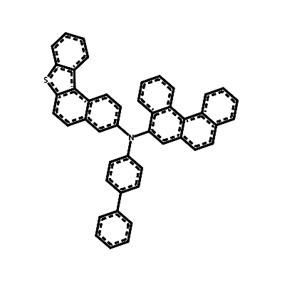 c1ccc(-c2ccc(N(c3ccc4c(ccc5sc6ccccc6c54)c3)c3cc4ccc5ccccc5c4c4ccccc34)cc2)cc1